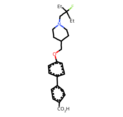 CCC(F)(CC)CN1CCC(COc2ccc(-c3ccc(C(=O)O)cc3)cc2)CC1